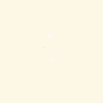 c1ccc(-c2ccccc2-c2ccccc2N(c2ccc3c(c2)c2cccc4c2n3-c2ccccc2C42c3ccccc3-c3ccccc32)c2cccc3c2-c2ccccc2C3(c2ccccc2)c2ccccc2)cc1